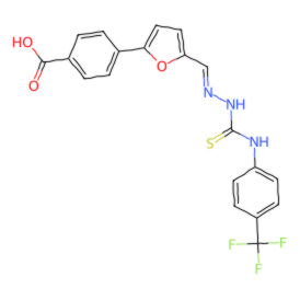 O=C(O)c1ccc(-c2ccc(C=NNC(=S)Nc3ccc(C(F)(F)F)cc3)o2)cc1